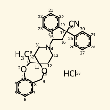 CC1Oc2ccccc2COC12CCN(CCC(C#N)(c1ccccc1)c1ccccc1)CC2.Cl